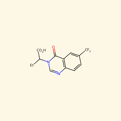 CCC(C(=O)O)n1cnc2ccc(C(F)(F)F)cc2c1=O